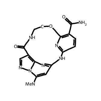 CNc1cc2nc3c(cnn13)C(=O)NCCOc1nc(ccc1C(N)=O)N2